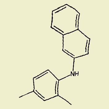 Cc1ccc(Nc2ccc3ccccc3c2)c(C)c1